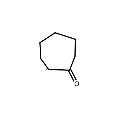 O=C1[CH]CCCC[CH]1